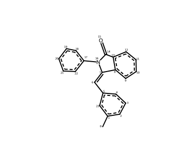 Cc1cccc(C=C2c3ccccc3C(=O)N2c2ccccc2)c1